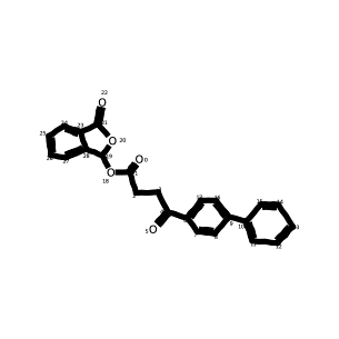 O=C(CCC(=O)c1ccc(-c2ccccc2)cc1)OC1OC(=O)c2ccccc21